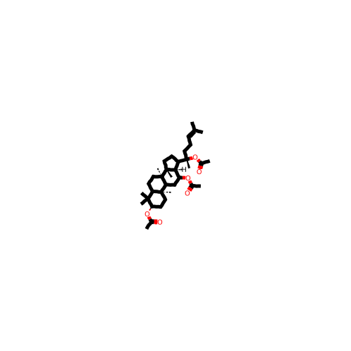 CC(=O)OC1CC2[C@@]3(C)CC[C@H](OC(C)=O)C(C)(C)C3CC[C@@]2(C)[C@]2(C)CCC([C@](C)(CCC=C(C)C)OC(C)=O)[C@@H]12